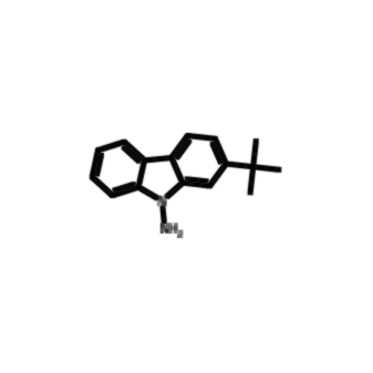 CC(C)(C)c1ccc2c3ccccc3n(N)c2c1